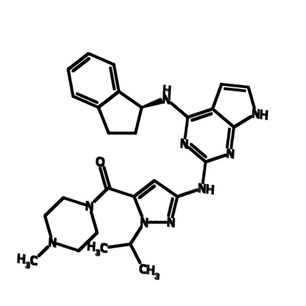 CC(C)n1nc(Nc2nc(N[C@H]3CCc4ccccc43)c3cc[nH]c3n2)cc1C(=O)N1CCN(C)CC1